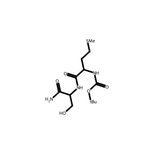 CSCCC(NC(=O)OC(C)(C)C)C(=O)NC(CO)C(N)=O